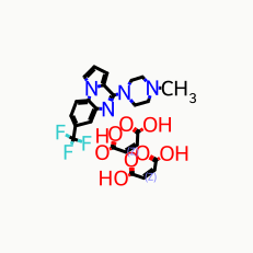 CN1CCN(c2nc3cc(C(F)(F)F)ccc3n3cccc23)CC1.O=C(O)/C=C\C(=O)O.O=C(O)/C=C\C(=O)O